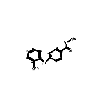 CC(C)(C)OC(=O)c1ccc(Oc2ccccc2N)cc1